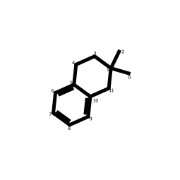 CC1(C)CCc2c[c]ccc2C1